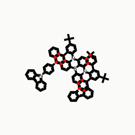 CC(C)(C)c1ccc(N2c3cc(N(c4ccccc4)c4ccc(-n5c6ccccc6c6ccccc65)cc4)ccc3B3c4ccc(-n5c6ccccc6c6ccccc65)cc4N(c4c(-c5ccccc5)cc(C(C)(C)C)cc4-c4ccccc4)c4cc(C(C)(C)C)cc2c43)c(-c2ccccc2)c1